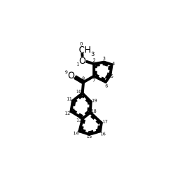 COc1ccccc1C(=O)c1ccc2ccccc2c1